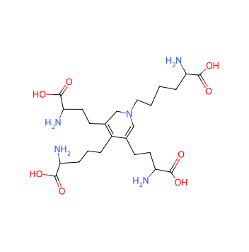 NC(CCCCN1C=C(CCC(N)C(=O)O)C(CCCC(N)C(=O)O)=C(CCC(N)C(=O)O)C1)C(=O)O